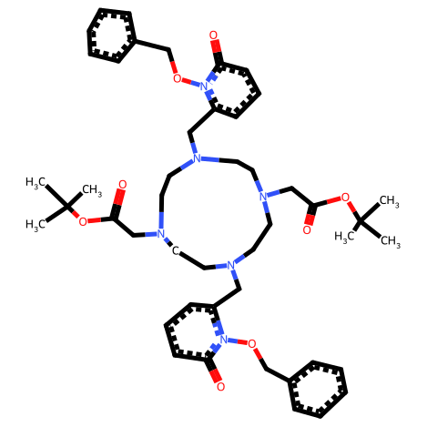 CC(C)(C)OC(=O)CN1CCN(Cc2cccc(=O)n2OCc2ccccc2)CCN(CC(=O)OC(C)(C)C)CCN(Cc2cccc(=O)n2OCc2ccccc2)CC1